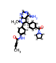 CC#CC(=O)Nc1ccc(-c2c(-c3ccc(C(=O)N4CCCC4)cc3)c3c(N)ncnc3n2C)cc1